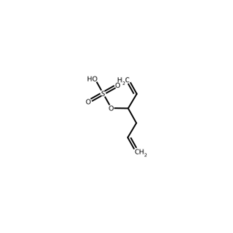 C=CCC(C=C)OS(=O)(=O)O